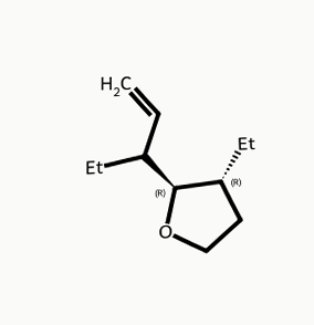 C=CC(CC)[C@@H]1OCC[C@H]1CC